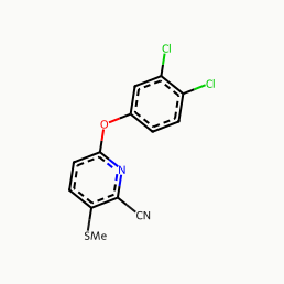 CSc1ccc(Oc2ccc(Cl)c(Cl)c2)nc1C#N